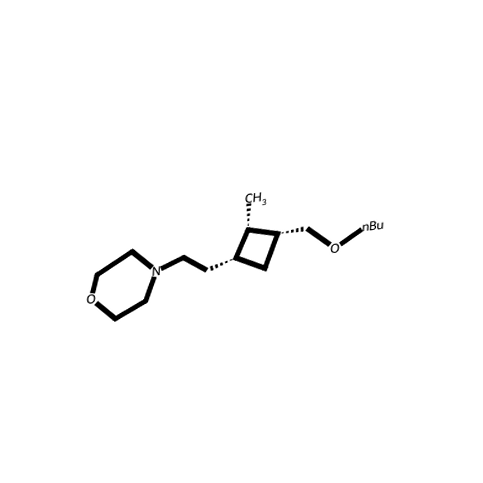 CCCCOC[C@@H]1C[C@H](CCN2CCOCC2)[C@@H]1C